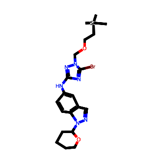 C[Si](C)(C)CCOCn1nc(Nc2ccc3c(cnn3C3CCCCO3)c2)nc1Br